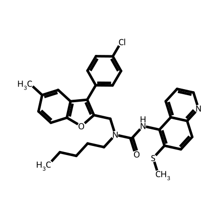 CCCCCN(Cc1oc2ccc(C)cc2c1-c1ccc(Cl)cc1)C(=O)Nc1c(SC)ccc2ncccc12